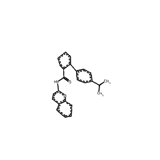 CC(C)c1ccc(-c2ccccc2C(=O)Nc2ccc3ccccc3n2)cc1